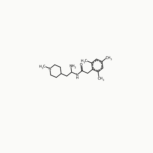 Cc1cc(C)c(CC(=O)NC(N)CC2CCN(C)CC2)c(C)c1